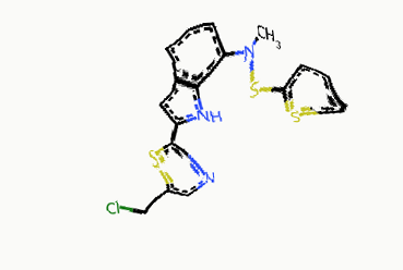 CN(Sc1cccs1)c1cccc2cc(-c3ncc(CCl)s3)[nH]c12